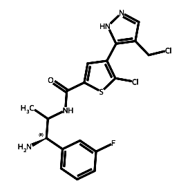 CC(NC(=O)c1cc(-c2[nH]ncc2CCl)c(Cl)s1)[C@H](N)c1cccc(F)c1